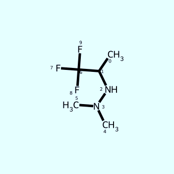 CC(NN(C)C)C(F)(F)F